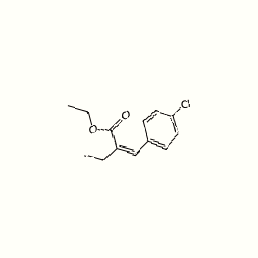 CCOC(=O)C(=Cc1ccc(Cl)cc1)CC